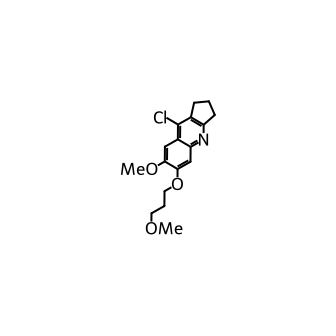 COCCCOc1cc2nc3c(c(Cl)c2cc1OC)CCC3